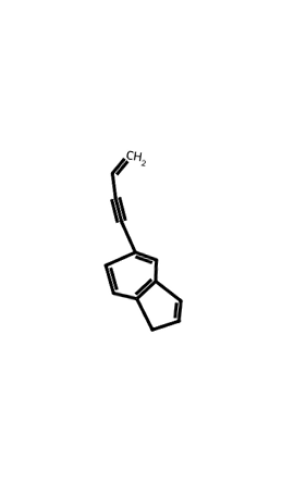 C=CC#Cc1ccc2c(c1)C=CC2